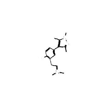 Cc1nn(C)c(C)c1-c1ccc(O)c(CCN(C)C)c1